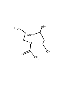 CCCC(CCO)SC.CCCOC(C)=O